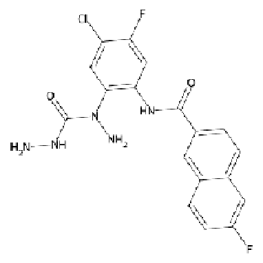 NNC(=O)N(N)c1cc(Cl)c(F)cc1NC(=O)c1ccc2cc(F)ccc2c1